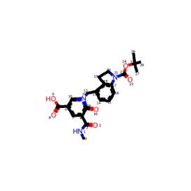 CNC(=O)c1cc(C(=O)O)cn(Cc2cccc3c2CCN3C(=O)OC(C)(C)C)c1=O